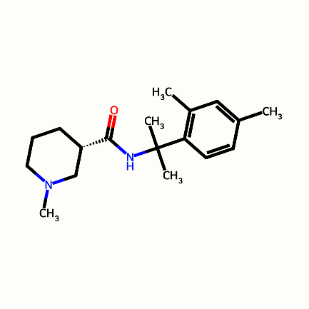 Cc1ccc(C(C)(C)NC(=O)[C@H]2CCCN(C)C2)c(C)c1